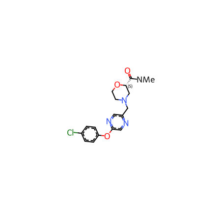 CNC(=O)[C@@H]1CN(Cc2cnc(Oc3ccc(Cl)cc3)cn2)CCO1